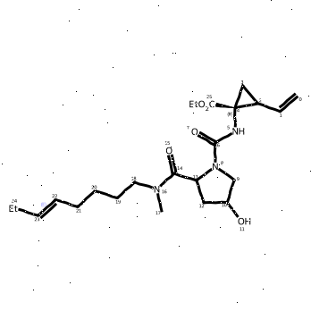 C=CC1C[C@]1(NC(=O)N1CC(O)CC1C(=O)N(C)CCCC/C=C/CC)C(=O)OCC